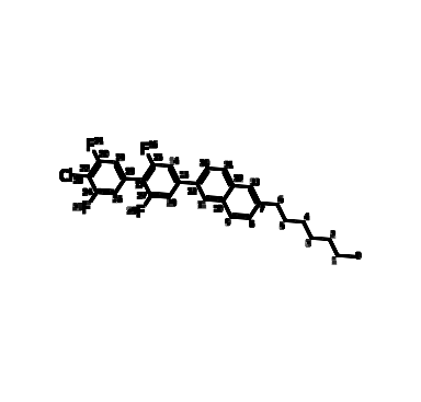 CCCCCCCc1ccc2cc(-c3cc(F)c(-c4cc(F)c(Cl)c(F)c4)c(F)c3)ccc2c1